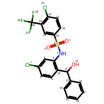 O=S(=O)(Nc1cc(Cl)ccc1C(O)c1ccccc1)c1ccc(Cl)c(C(F)(F)F)c1